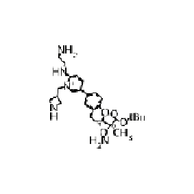 CC(C)(C)OC(=O)[C@@](C)(ON)[C@H]1CCc2cc(-c3ccc(NCCN)[n+](CC4CNC4)c3)ccc2O1